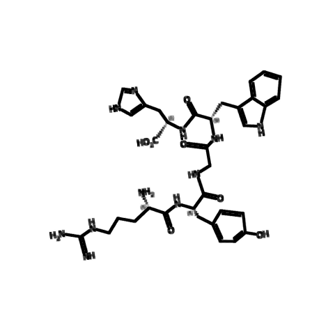 N=C(N)NCCC[C@H](N)C(=O)N[C@@H](Cc1ccc(O)cc1)C(=O)NCC(=O)N[C@@H](Cc1c[nH]c2ccccc12)C(=O)N[C@@H](Cc1c[nH]cn1)C(=O)O